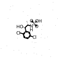 C[C@H](NS(=O)(=O)O)[C@@H](O)c1cc(Cl)ccc1Cl